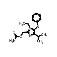 CCn1c(COC(N)=O)nc(C(C)C)c1Sc1ccccc1